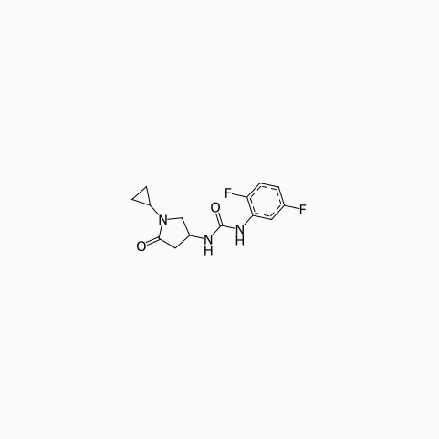 O=C(Nc1cc(F)ccc1F)NC1CC(=O)N(C2CC2)C1